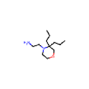 CCCC1(CCC)COCCN1CCN